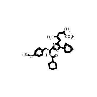 CCCCOc1ccc(C[C@H](NC(=O)C2CCCCC2)c2nc(/C=C(C)/C=C(/C)C(=O)O)c(-c3ccccc3)s2)cc1